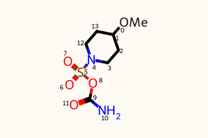 COC1CCN(S(=O)(=O)OC(N)=O)CC1